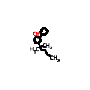 CCCCCC(C)(C)c1ccc(O)c(-c2ccccc2)c1